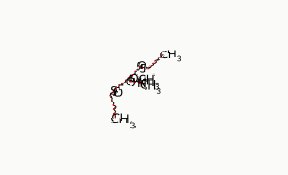 CCCCCCCCCC/C=C\CSC(=O)CCCCCCCC(CCCCCCCC(=O)SC/C=C\CCCCCCCCCC)OC(=O)CCCN(C)C